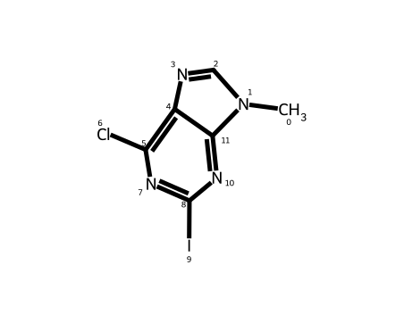 Cn1cnc2c(Cl)nc(I)nc21